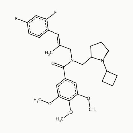 COc1cc(C(=O)N(C/C(C)=C/c2ccc(F)cc2F)CC2CCCN2C2CCC2)cc(OC)c1OC